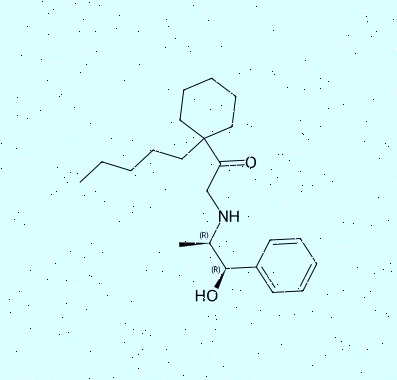 CCCCCC1(C(=O)CN[C@H](C)[C@H](O)c2ccccc2)CCCCC1